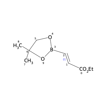 CCOC(=O)/C=C/B1OCC(C)(C)O1